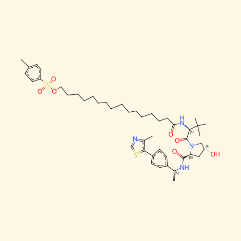 Cc1ccc(S(=O)(=O)OCCCCCCCCCCCCCCCC(=O)N[C@H](C(=O)N2C[C@H](O)C[C@H]2C(=O)N[C@@H](C)c2ccc(-c3scnc3C)cc2)C(C)(C)C)cc1